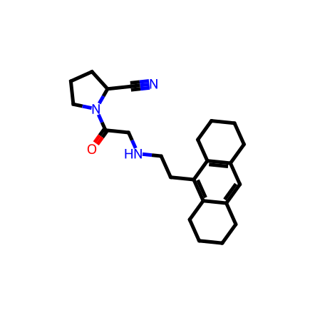 N#CC1CCCN1C(=O)CNCCc1c2c(cc3c1CCCC3)CCCC2